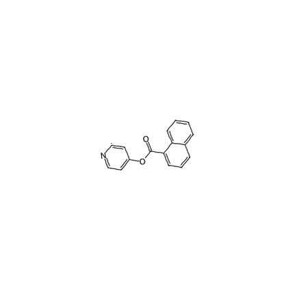 O=C(Oc1c[c]ncc1)c1cccc2ccccc12